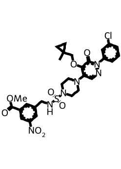 COC(=O)c1cc(CNS(=O)(=O)N2CCN(c3cnn(-c4cccc(Cl)c4)c(=O)c3OCC3(C)CC3)CC2)cc([N+](=O)[O-])c1